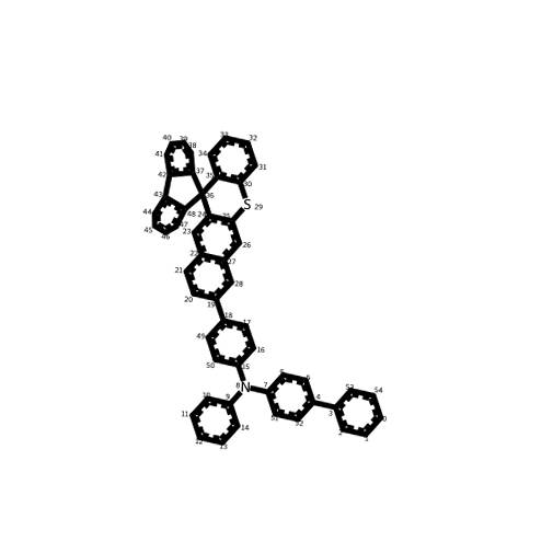 c1ccc(-c2ccc(N(c3ccccc3)c3ccc(-c4ccc5cc6c(cc5c4)Sc4ccccc4C64c5ccccc5-c5ccccc54)cc3)cc2)cc1